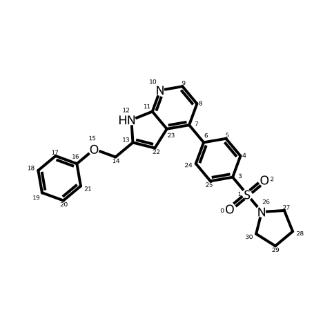 O=S(=O)(c1ccc(-c2ccnc3[nH]c(COc4ccccc4)cc23)cc1)N1CCCC1